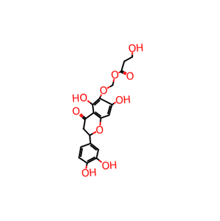 O=C(CCO)OCOc1c(O)cc2c(c1O)C(=O)CC(c1ccc(O)c(O)c1)O2